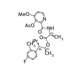 COc1ccnc(C(=O)N[C@@H](C)C(=O)O[C@@H](C)[C@@H](c2ccc(F)cc2C)C(C)C)c1OC(C)=O